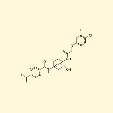 O=C(COc1ccc(Cl)c(F)c1)NC12CCC(NC(=O)c3cnc(C(F)F)cn3)(CC1)CC2O